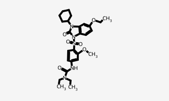 CCOc1ccc2c(c1)n(C1CCCCC1)c(=O)n2S(=O)(=O)c1ccc(NC(=O)N(CC)CC)cc1OC